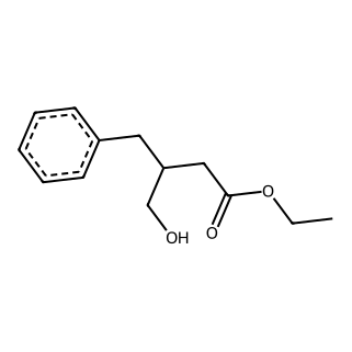 CCOC(=O)CC(CO)Cc1ccccc1